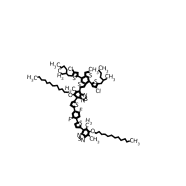 CCCCCCCCCCCCOc1c(C)c(-c2ccc(-c3cc(F)c(-c4ccc(-c5c(OCCCCCCCCCCCC)c(C)c(-c6cc7c(-c8cc(Cl)c(CC(CC)CCCC)s8)c8sc(C)cc8c(-c8cc(Cl)c(CC(CC)CCCC)s8)c7s6)c6nsnc56)s4)cc3F)s2)c2nsnc2c1C